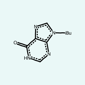 CCC(C)n1cnc2c(=O)[nH]cnc21